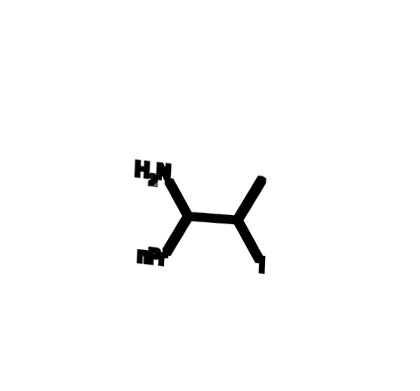 CCCC(N)C(C)I